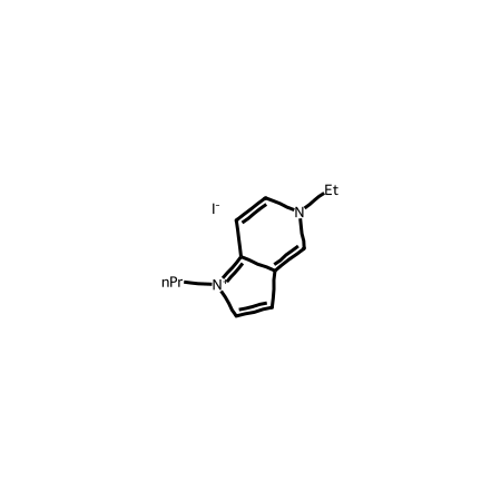 CCC[n+]1ccc2cn(CC)ccc1-2.[I-]